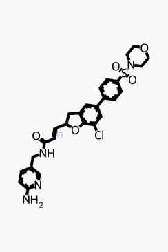 Nc1ccc(CNC(=O)/C=C/C2Cc3cc(-c4ccc(S(=O)(=O)N5CCOCC5)cc4)cc(Cl)c3O2)cn1